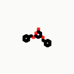 O=C1CC(OCc2ccccc2)CC(OCc2ccccc2)O1